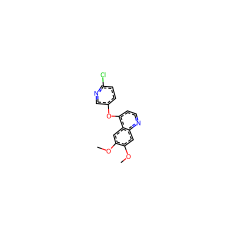 COc1cc2nccc(Oc3ccc(Cl)nc3)c2cc1OC